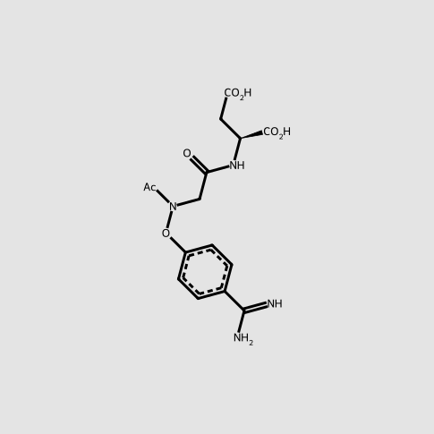 CC(=O)N(CC(=O)N[C@@H](CC(=O)O)C(=O)O)Oc1ccc(C(=N)N)cc1